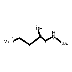 COCCC(O)CNC(C)(C)C